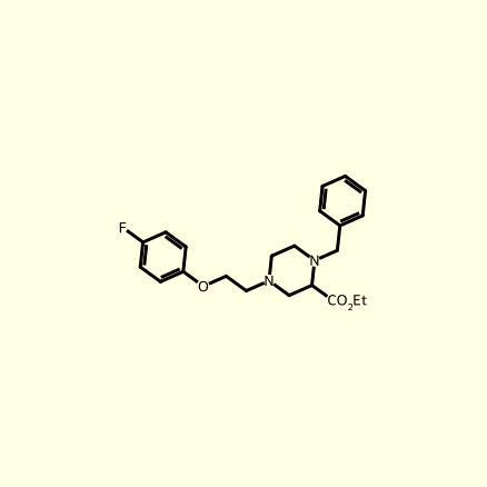 CCOC(=O)C1CN(CCOc2ccc(F)cc2)CCN1Cc1ccccc1